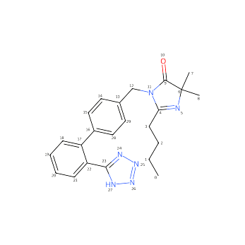 CCCCC1=NC(C)(C)C(=O)N1Cc1ccc(-c2ccccc2-c2nnn[nH]2)cc1